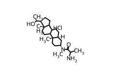 CC(N)C(=O)N(C)[C@@H]1CC[C@]2(C)C3CC[C@@]4(C)C(CC[C@@H]4[C@H](C)O)C3CC[C@H]2C1.Cl